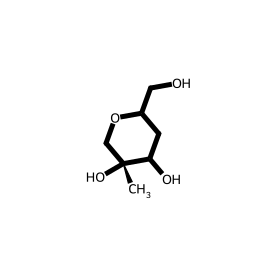 C[C@@]1(O)COC(CO)CC1O